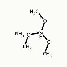 CO[SiH](OC)OC.N